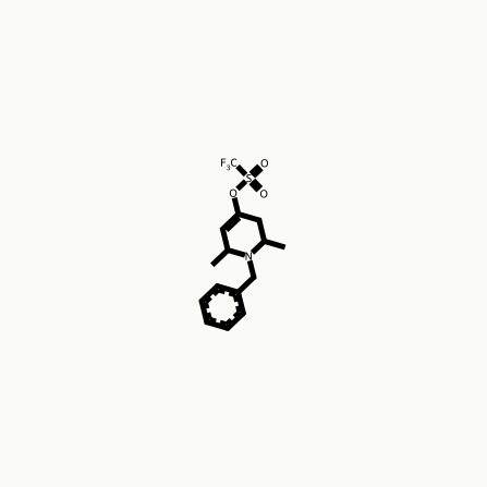 CC1C=C(OS(=O)(=O)C(F)(F)F)CC(C)N1Cc1ccccc1